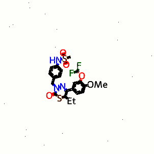 CCC1SC(=O)N(Cc2ccc(NS(C)(=O)=O)cc2)N=C1c1ccc(OC)c(OC(F)F)c1